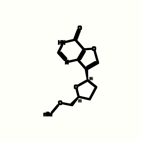 CCCCOC[C@@H]1CC[C@H](c2coc3c(=O)[nH]cnc23)O1